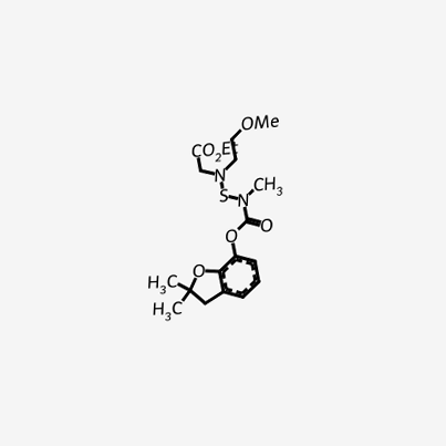 CCOC(=O)CN(CCOC)SN(C)C(=O)Oc1cccc2c1OC(C)(C)C2